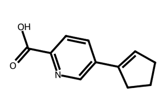 O=C(O)c1ccc(C2=CCCC2)cn1